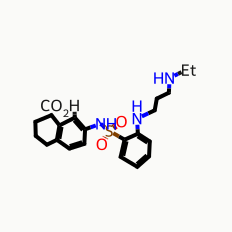 CCNCCCNc1ccccc1S(=O)(=O)Nc1ccc2c(c1C(=O)O)CCCC2